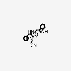 N#CCCNC(=O)C(Cc1ccccc1)NC(=O)Cc1c[nH]c2ccccc12